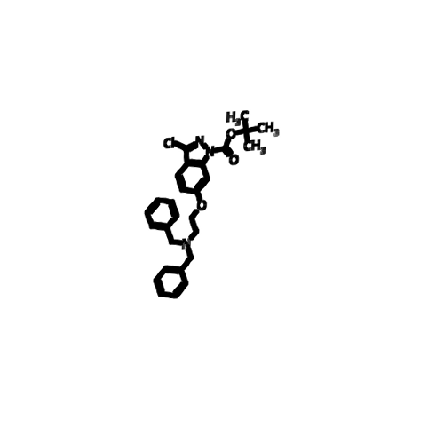 CC(C)(C)OC(=O)n1nc(Cl)c2ccc(OCCN(Cc3ccccc3)Cc3ccccc3)cc21